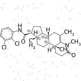 CC1=C2N(C)C(=O)CC[C@]2(C)[C@H]2CC[C@]3(C)[C@@H](C(=O)Nc4cccc(Cl)c4Cl)CC[C@H]3[C@@H]2C1